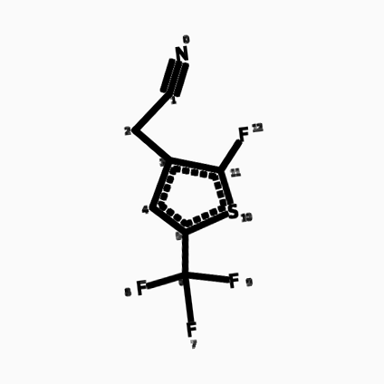 N#CCc1cc(C(F)(F)F)sc1F